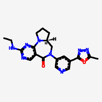 CCNc1ncc2c(n1)N1CCC[C@H]1CN(c1cncc(-c3nnc(C)o3)c1)C2=O